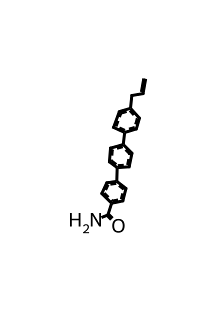 C=CCc1ccc(-c2ccc(-c3ccc(C(N)=O)cc3)cc2)cc1